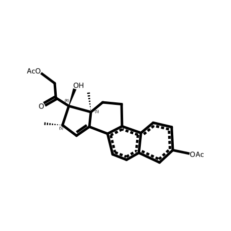 CC(=O)OCC(=O)[C@@]1(O)[C@@H](C)C=C2c3ccc4cc(OC(C)=O)ccc4c3CC[C@@]21C